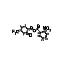 O=C(OOc1ccc(C(F)(F)F)cc1Cl)c1ccccc1[N+](=O)[O-]